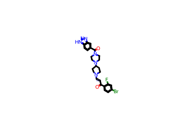 O=C(/C=C/N1CCC(N2CCN(C(=O)c3ccc4[nH]nnc4c3)CC2)CC1)c1ccc(Br)cc1F